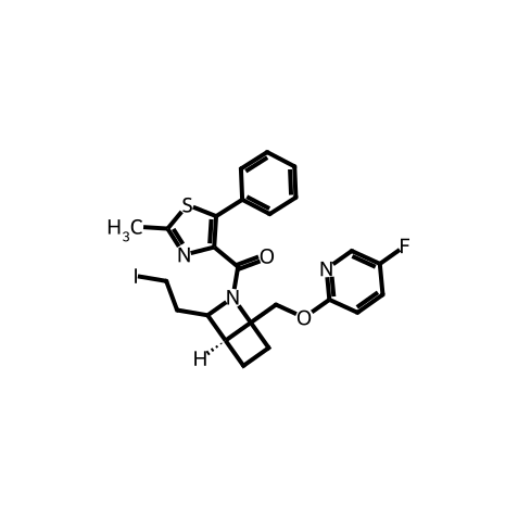 Cc1nc(C(=O)N2C(CCI)[C@@H]3CCC32COc2ccc(F)cn2)c(-c2ccccc2)s1